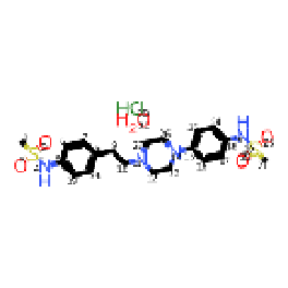 CS(=O)(=O)Nc1ccc(CCN2CCN(c3ccc(NS(C)(=O)=O)cc3)CC2)cc1.Cl.O